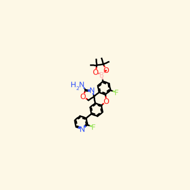 CC1(C)OB(c2cc(F)c3c(c2)C2(COC(N)=N2)c2cc(-c4cccnc4F)ccc2O3)OC1(C)C